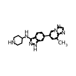 Cc1cc(-c2ccc3c(NC4CCNCC4)n[nH]c3c2)cn2ncnc12